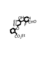 CCOC(=O)Cc1ccccc1O/C(=C/C(=C(/O)CC)c1ccnc(C=O)c1F)CC